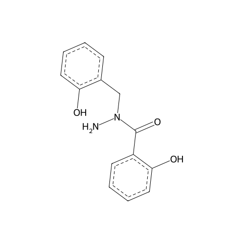 NN(Cc1ccccc1O)C(=O)c1ccccc1O